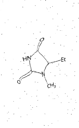 CCC1C(=O)NC(=O)N1C